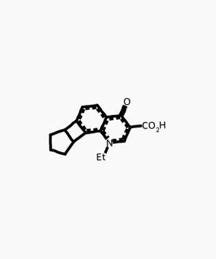 CCn1cc(C(=O)O)c(=O)c2ccc3c(c21)C1CCCC31